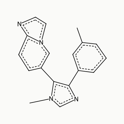 Cc1cccc(-c2ncn(C)c2-c2ccc3nccn3c2)c1